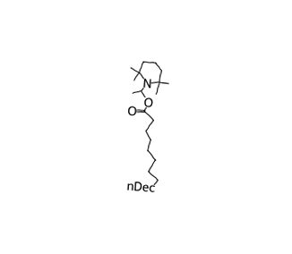 CCCCCCCCCCCCCCCCCC(=O)OC(C)N1C(C)(C)CCCC1(C)C